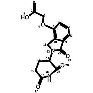 C=C(O)COc1cccc2c1CN(C1CCC(=O)NC1=O)C2=O